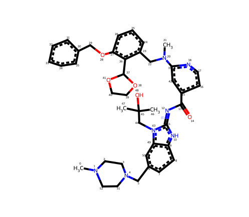 CN1CCN(Cc2ccc3[nH]/c(=N\C(=O)c4ccnc(N(C)Cc5cccc(OCc6ccccc6)c5C5OCCO5)c4)n(CC(C)(C)O)c3c2)CC1